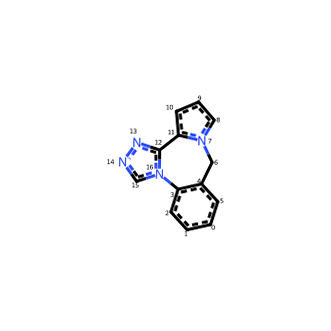 c1ccc2c(c1)Cn1cccc1-c1nncn1-2